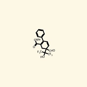 COC(=O)C1=C(c2ccccc2)C=CC(C=O)(C(O)(C(F)(F)F)C(F)(F)F)C1